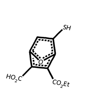 CCOC(=O)c1c(C(=O)O)c2cc(S)c1o2